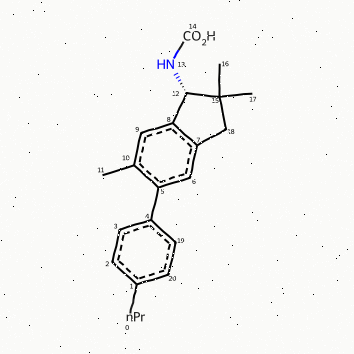 CCCc1ccc(-c2cc3c(cc2C)[C@H](NC(=O)O)C(C)(C)C3)cc1